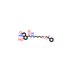 O=c1ccc2c([C@@H](O)CNCCCCCCOCC(F)(I)c3ccccc3)ccc(O)c2[nH]1